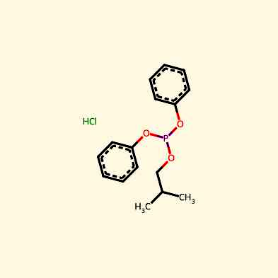 CC(C)COP(Oc1ccccc1)Oc1ccccc1.Cl